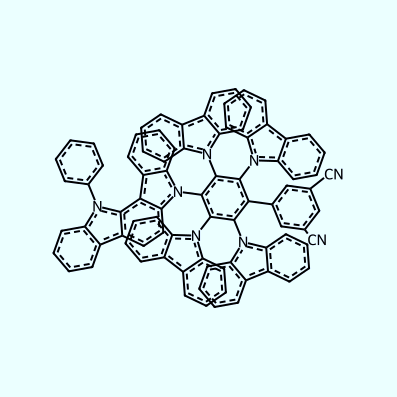 N#Cc1cc(C#N)cc(-c2c(-n3c4ccccc4c4ccccc43)c(-n3c4ccccc4c4ccccc43)c(-n3c4ccccc4c4c3ccc3c5ccccc5n(-c5ccccc5)c34)c(-n3c4ccccc4c4ccccc43)c2-n2c3ccccc3c3ccccc32)c1